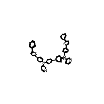 c1ccc(-c2ccc(-c3ccc(N(c4ccc(-c5ccc(N(c6ccc(-c7ccc(-c8ccccc8)s7)cc6)c6cccnc6)cc5)cc4)c4cccnc4)cc3)s2)cc1